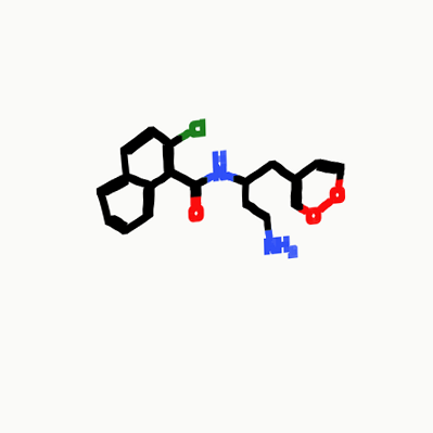 NCCC(CC1=COOC=C1)NC(=O)c1c(Cl)ccc2ccccc12